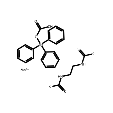 CC(=O)[O][Sn]([c]1ccccc1)([c]1ccccc1)[c]1ccccc1.S=C([S-])NCCNC(=S)[S-].[Mn+2]